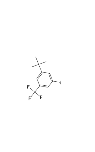 CC(C)(C)c1cc(I)cc(C(F)(F)F)c1